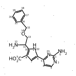 Nc1nccc(-c2cc(C(=O)O)c(C(N)COCc3ccccc3)[nH]2)n1